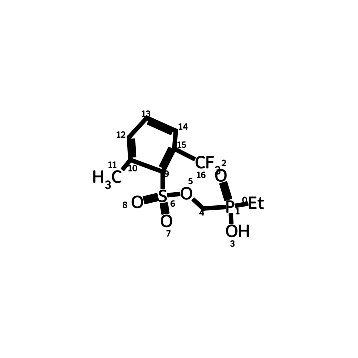 CCP(=O)(O)COS(=O)(=O)c1c(C)cccc1C(F)(F)F